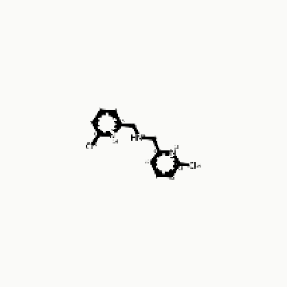 Clc1cccc(CNCc2cccc(Cl)n2)n1